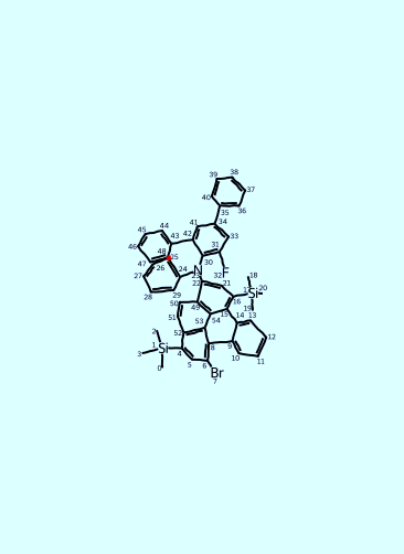 C[Si](C)(C)c1cc(Br)c2c3ccccc3c3c([Si](C)(C)C)cc(N(c4ccccc4)c4c(F)cc(-c5ccccc5)cc4-c4ccccc4)c4ccc1c2c43